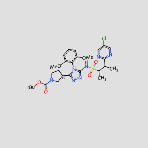 COc1cccc(OC)c1-n1c(NS(=O)(=O)C(C)C(C)c2ncc(Cl)cn2)nnc1[C@@H]1CCN(C(=O)OC(C)(C)C)C1